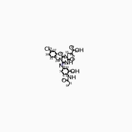 CCC(=O)Nc1ccc(/N=c2\[nH]c(=O)n(C[C@H](C)C(=O)O)c(=O)n2Cc2ccc(Cl)cc2)cc1O